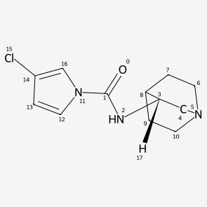 O=C(N[C@H]1CN2CCC1CC2)n1ccc(Cl)c1